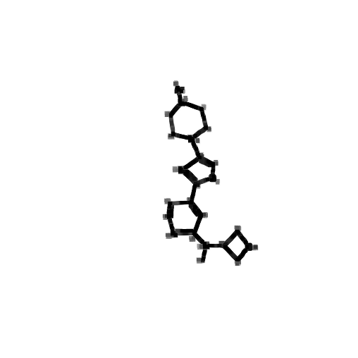 CC(=O)N1CCN(c2coc(-c3ccnc(N(C)C4COC4)c3)n2)CC1